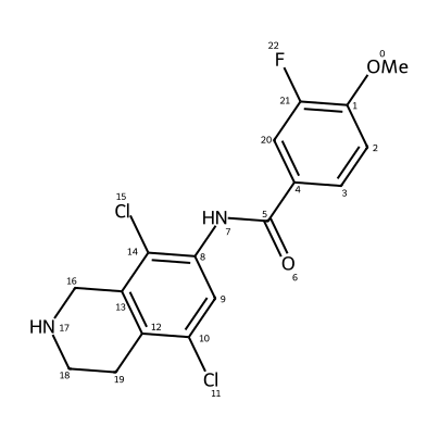 COc1ccc(C(=O)Nc2cc(Cl)c3c(c2Cl)CNCC3)cc1F